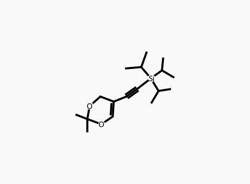 CC(C)[Si](C#CC1=COC(C)(C)OC1)(C(C)C)C(C)C